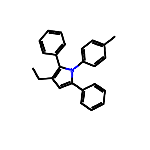 CCc1cc(-c2ccccc2)n(-c2ccc(C)cc2)c1-c1ccccc1